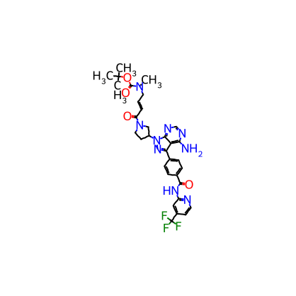 CN(CC=CC(=O)N1CCC(n2nc(-c3ccc(C(=O)Nc4cc(C(F)(F)F)ccn4)cc3)c3c(N)ncnc32)C1)C(=O)OC(C)(C)C